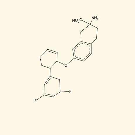 NC1(C(=O)O)CCc2ccc(OC3C=CCCC3C3=CC(F)=CC(F)C3)cc2C1